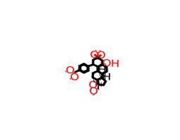 COC[C@]1(OC)CC[C@H]2[C@@H]3CC[C@@]4(O)CC(OC)(OC)CC(c5ccc(C(OC)OC)cc5)C4=C3CC[C@@]21C